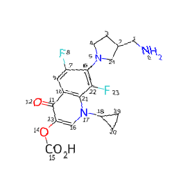 NCC1CCN(c2c(F)cc3c(=O)c(OC(=O)O)cn(C4CC4)c3c2F)C1